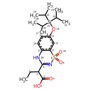 CCC(C(=O)O)C1=NS(=O)(=O)c2cc(O[Si](C(C)C)(C(C)C)C(C)C)ccc2N1